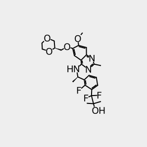 COc1cc2nc(C)nc(N[C@H](C)c3cccc(C(F)(F)C(C)(C)O)c3F)c2cc1OC[C@@H]1COCCO1